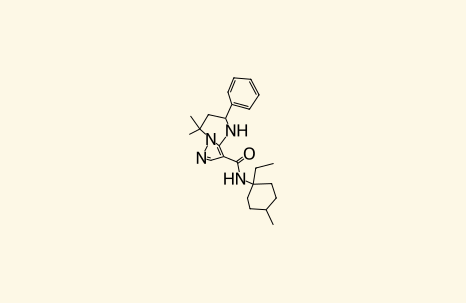 CCC1(NC(=O)c2cnn3c2NC(c2ccccc2)CC3(C)C)CCC(C)CC1